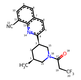 C[C@H]1C[C@@H](c2ccc3cccc(C#N)c3n2)CN(C(=O)CC(F)(F)F)C1